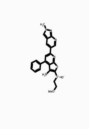 COCC[S@@+]([O-])c1sc2nc(-c3cnc4nn(C)cc4c3)cc(-c3ccccc3)c2c1N